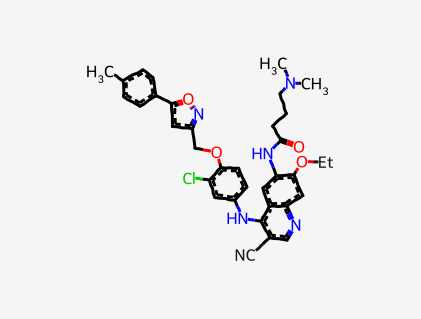 CCOc1cc2ncc(C#N)c(Nc3ccc(OCc4cc(-c5ccc(C)cc5)on4)c(Cl)c3)c2cc1NC(=O)CCCN(C)C